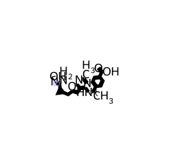 Cc1nc(N[C@@H](C)c2ccc(C(=O)O)cc2)c2cc(CC3CC3/C(N)=N/O)oc2n1